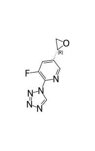 Fc1cc([C@@H]2CO2)cnc1-n1cnnn1